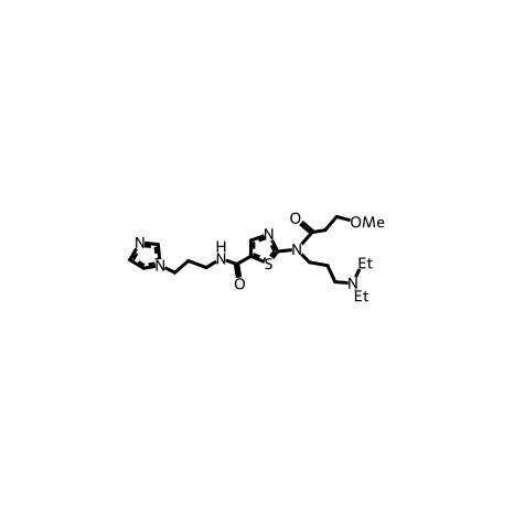 CCN(CC)CCCN(C(=O)CCOC)c1ncc(C(=O)NCCCn2ccnc2)s1